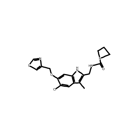 Cc1c(CNC(=O)N2CCC2)[nH]c2cc(OCc3cscn3)c(Cl)cc12